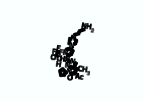 CC(=O)c1c(C)c2cnc(Nc3ccc(N4CCN(CCCCN)CC4)cn3)nc2n(C2CCCC2)c1=O.O=C(O)C(F)(F)F